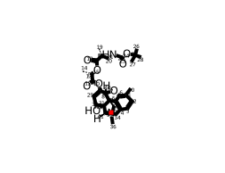 Cc1ccc2c3c1O[C@H]1C(OC(=O)[C@H](C)OC(=O)[C@H](C)CNC(=O)OC(C)(C)C)=CC[C@@]4(O)[C@@H](C2)N(C)CC[C@]314